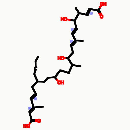 CCCCC(C/C=C/C(C)=C/C(=O)O)CCC(O)CCC(C)C(O)C/C=C(C)/C=C/C(O)C(C)/C=C/C(=O)O